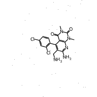 Cn1c(=O)c2c(-c3ccc(Cl)cc3Cl)c(CN)c(N)nc2n(C)c1=O